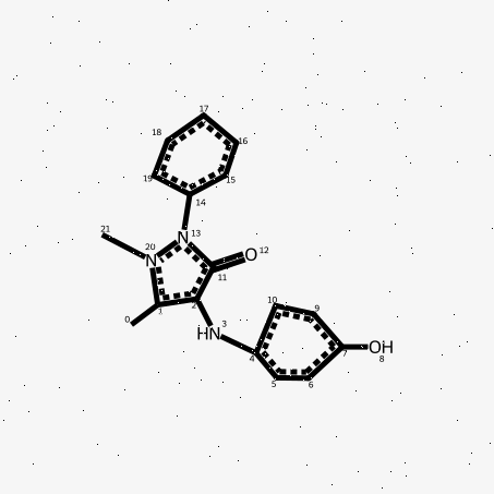 Cc1c(Nc2ccc(O)cc2)c(=O)n(-c2ccccc2)n1C